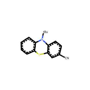 CC(C)(C)N1c2ccccc2Sc2cc(C#N)ccc21